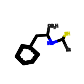 CCC(S)NC(Cc1ccccc1)C(=O)O